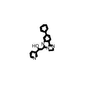 O/C(=C\C1=Nc2cc(-c3ccccc3)ccc2C2=NCCN12)c1cccnc1